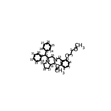 COCCOc1cccc(OC)c1CN1CC2CCCN2C(C(c2ccccc2)c2ccccc2)C1